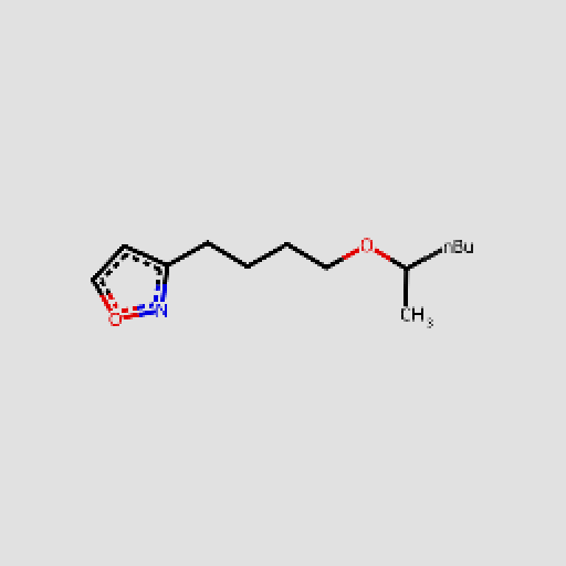 [CH2]CCCC(C)OCCCCc1ccon1